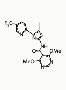 COc1ncnc(OC)c1C(=O)Nc1nc(-c2ccc(C(F)(F)F)cn2)c(I)s1